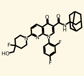 O=C(NC12CC3CC(CC(C3)C1)C2)c1cn(-c2ccc(F)cc2F)c2nc(N3CCC(F)(CO)CC3)ccc2c1=O